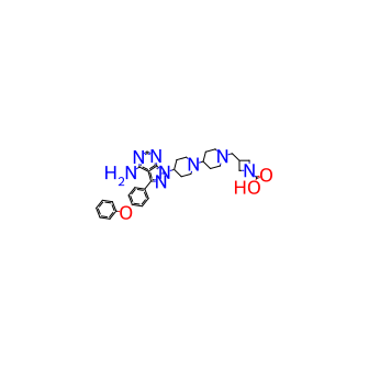 Nc1ncnc2c1c(-c1ccc(Oc3ccccc3)cc1)nn2C1CCN(C2CCN(CC3CN(C(=O)O)C3)CC2)CC1